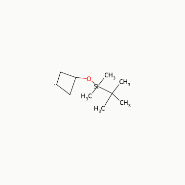 CC(C)(C)[Si](C)(C)OC1C[CH]C1